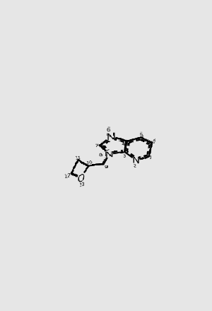 c1cnc2c(c1)ncn2CC1CCO1